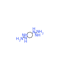 N=C(N)NC1CCCC(NC(=N)N)CCC1